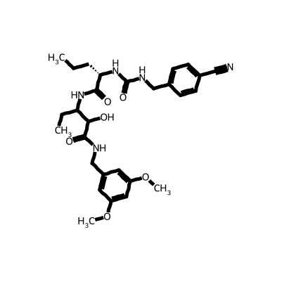 CCC[C@H](NC(=O)NCc1ccc(C#N)cc1)C(=O)NC(CC)C(O)C(=O)NCc1cc(OC)cc(OC)c1